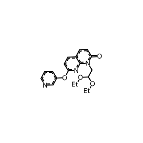 CCOC(Cn1c(=O)ccc2ccc(Oc3cccnc3)nc21)OCC